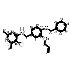 C=CCOc1cc(CNc2nc(C)nc(C)c2Cl)ccc1OCc1ccccc1